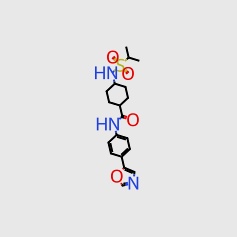 CC(C)S(=O)(=O)NC1CCC(C(=O)Nc2ccc(-c3cnco3)cc2)CC1